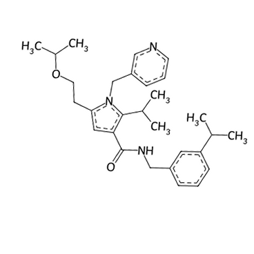 CC(C)OCCc1cc(C(=O)NCc2cccc(C(C)C)c2)c(C(C)C)n1Cc1cccnc1